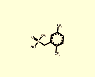 O=P(O)(O)Cc1cc(C(F)(F)F)ccc1C(F)(F)F